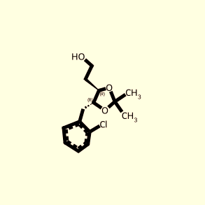 CC1(C)O[C@H](CCO)[C@@H](Cc2ccccc2Cl)O1